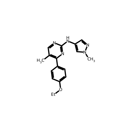 CCOc1ccc(-c2nc(Nc3cnn(C)c3)ncc2C)cc1